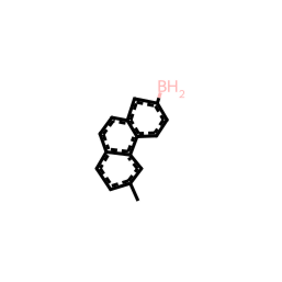 Bc1ccc2c(ccc3ccc(C)cc32)c1